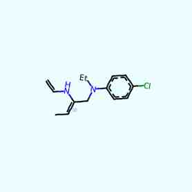 C=CN/C(=C\C)CN(CC)c1ccc(Cl)cc1